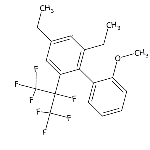 CCc1[c]c(CC)c(-c2ccccc2OC)c(C(F)(C(F)(F)F)C(F)(F)F)c1